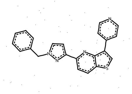 c1ccc(Cn2ccc(-c3ccc4scc(-c5ccncc5)c4n3)n2)cc1